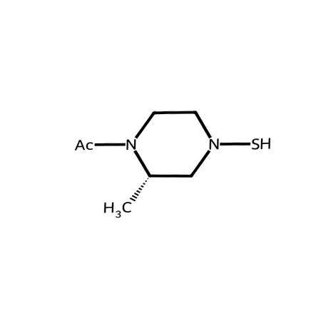 CC(=O)N1CCN(S)C[C@@H]1C